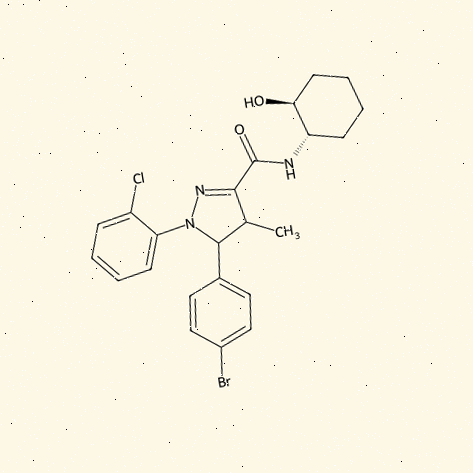 CC1C(C(=O)N[C@H]2CCCC[C@@H]2O)=NN(c2ccccc2Cl)C1c1ccc(Br)cc1